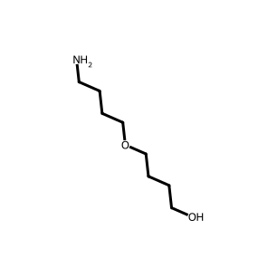 NCCCCOCCCCO